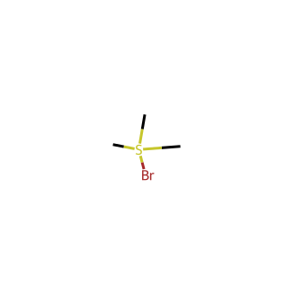 CS(C)(C)Br